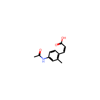 CC(=O)Nc1ccc(/C=C\C(=O)O)c(C)c1